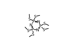 CSP1(SC)=NP(SC)(SC)=NP(SC)(SC)=N1